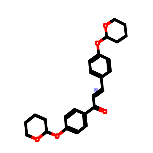 O=C(/C=C/c1ccc(OC2CCCCO2)cc1)c1ccc(OC2CCCCO2)cc1